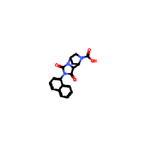 O=C1C2C3CC(CN3C(=O)O)N2C(=O)N1c1cccc2ccccc12